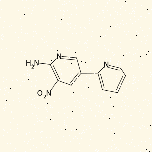 Nc1ncc(-c2ccccn2)cc1[N+](=O)[O-]